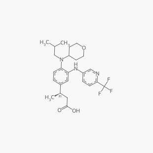 CC(C)CN(c1ccc([C@H](C)CC(=O)O)cc1Nc1ccc(C(F)(F)F)nc1)C1CCOCC1